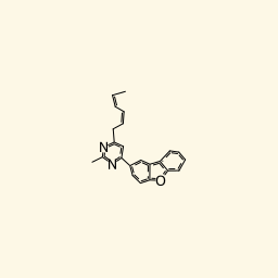 C/C=C\C=C/Cc1cc(-c2ccc3oc4ccccc4c3c2)nc(C)n1